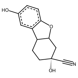 N#C[C@@]1(O)CCC2c3cc(O)ccc3OC2C1